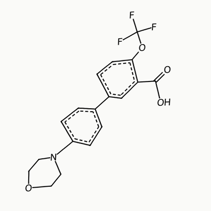 O=C(O)c1cc(-c2ccc(N3CCOCC3)cc2)ccc1OC(F)(F)F